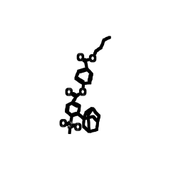 CCCCOC(=O)c1ccc(OC(=O)c2ccc(S(C)(=O)=O)c(C34CC5CC(CC(C5)C3)C4)c2)cc1